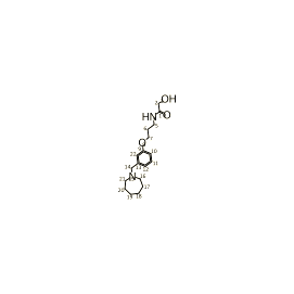 O=C(CO)NCCCOc1cccc(CN2CCCCCC2)c1